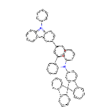 c1ccc(N(c2ccc3c(c2)C2(c4ccccc4-c4ccccc42)c2ccccc2-3)c2ccccc2-c2cccc(-c3ccc4c(c3)c3ccccc3n4-c3ccccc3)c2)cc1